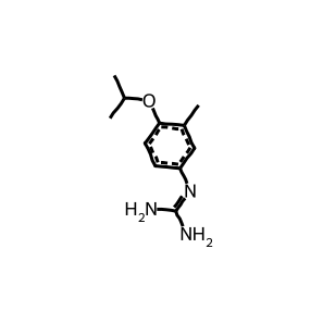 Cc1cc(N=C(N)N)ccc1OC(C)C